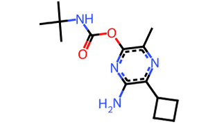 Cc1nc(C2CCC2)c(N)nc1OC(=O)NC(C)(C)C